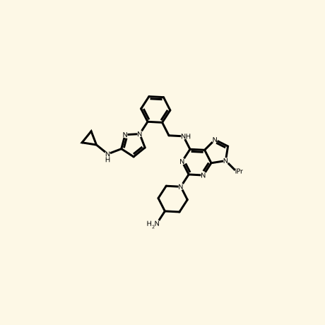 CC(C)n1cnc2c(NCc3ccccc3-n3ccc(NC4CC4)n3)nc(N3CCC(N)CC3)nc21